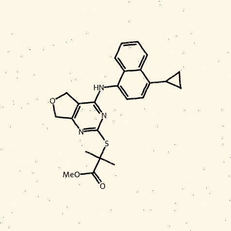 COC(=O)C(C)(C)Sc1nc2c(c(Nc3ccc(C4CC4)c4ccccc34)n1)COC2